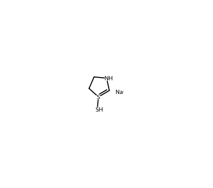 SS1=CNCC1.[Na]